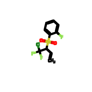 C=CC(C(F)(F)Cl)S(=O)(=O)c1ccccc1F